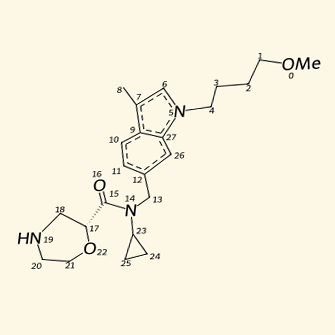 COCCCCn1cc(C)c2ccc(CN(C(=O)[C@H]3CNCCO3)C3CC3)cc21